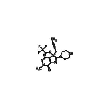 CC#CC[N+]1(OC(=O)C(F)(F)F)C(N2CCNCC2)=Nc2c1cnn(C)c2=O